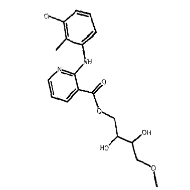 COCC(O)C(O)COC(=O)c1cccnc1Nc1cccc(Cl)c1C